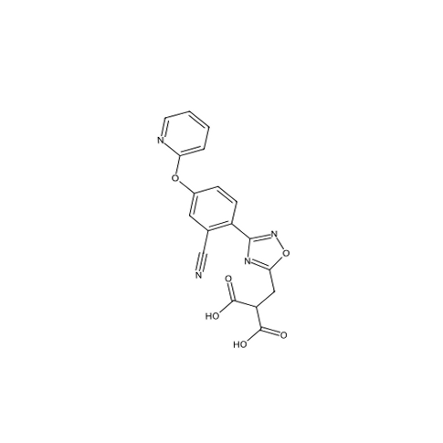 N#Cc1cc(Oc2ccccn2)ccc1-c1noc(CC(C(=O)O)C(=O)O)n1